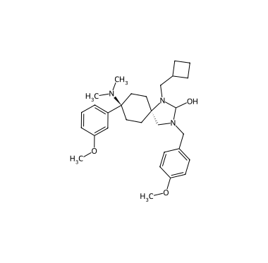 COc1ccc(CN2C[C@]3(CC[C@](c4cccc(OC)c4)(N(C)C)CC3)N(CC3CCC3)C2O)cc1